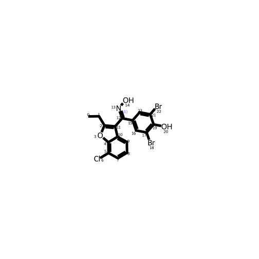 CCc1oc2c(Cl)cccc2c1/C(=N/O)c1cc(Br)c(O)c(Br)c1